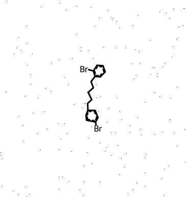 Brc1ccc([CH]CCCCc2ccccc2Br)cc1